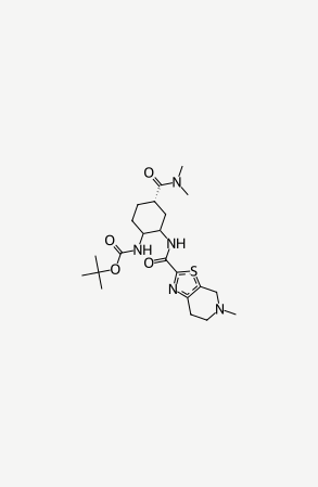 CN1CCc2nc(C(=O)NC3C[C@@H](C(=O)N(C)C)CCC3NC(=O)OC(C)(C)C)sc2C1